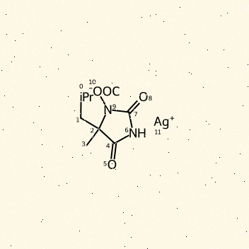 CC(C)CC1(C)C(=O)NC(=O)N1C(=O)[O-].[Ag+]